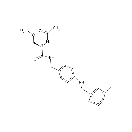 COC[C@@H](NC(C)=O)C(=O)NCc1ccc(NCc2cccc(F)c2)cc1